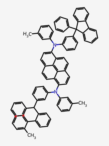 Cc1cccc(N(c2cccc(C(c3ccccc3)c3ccccc3-c3ccccc3C)c2)c2ccc3ccc4c(N(c5cccc(C)c5)c5cccc(C6(c7ccccc7)c7ccccc7-c7ccccc76)c5)ccc5ccc2c3c54)c1